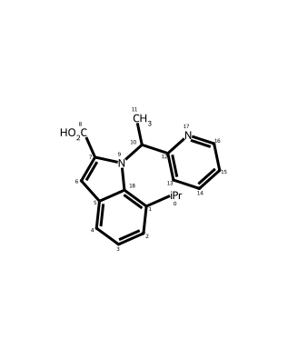 CC(C)c1cccc2cc(C(=O)O)n(C(C)c3ccccn3)c12